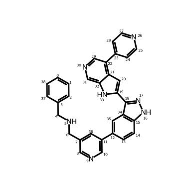 c1ccc(CNCc2cncc(-c3ccc4[nH]nc(-c5cc6c(-c7ccncc7)cncc6[nH]5)c4c3)c2)cc1